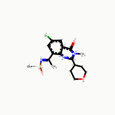 C/C(=N\[S@+]([O-])C(C)(C)C)c1cc(Br)cc2c(=O)n(C)c(C3CCOCC3)nc12